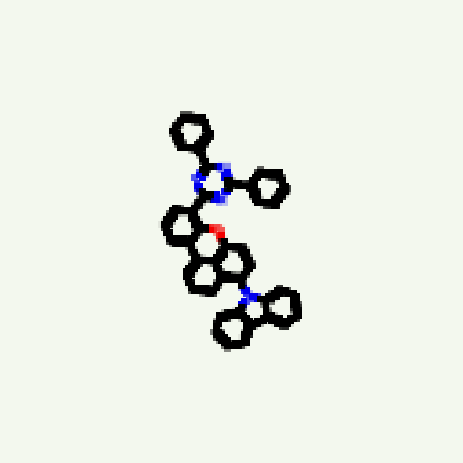 c1ccc(-c2nc(-c3ccccc3)nc(-c3cccc4c3Oc3ccc(-n5c6ccccc6c6ccccc65)c5cccc-4c35)n2)cc1